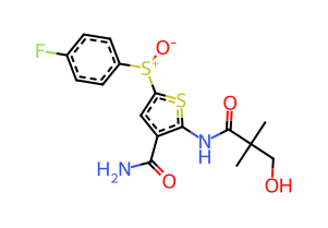 CC(C)(CO)C(=O)Nc1sc([S+]([O-])c2ccc(F)cc2)cc1C(N)=O